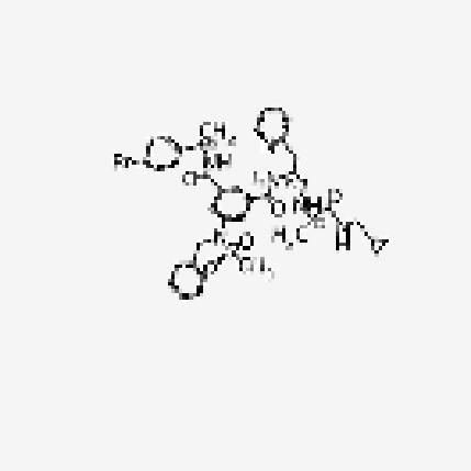 C[C@H](NC[C@H](Cc1ccccn1)NC(=O)c1cc(C(=O)N[C@H](C)c2ccc(Br)cc2)cc(N(Cc2ccccc2)S(C)(=O)=O)c1)C(=O)NCC1CC1